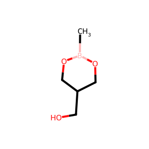 CB1OCC(CO)CO1